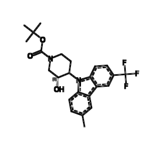 Cc1ccc2c(c1)c1cc(C(F)(F)F)ccc1n2C1CCN(C(=O)OC(C)(C)C)C[C@H]1O